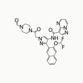 O=CN1CCN(C(=O)Cn2cc(NC(=O)c3cnn4cccnc34)c(-c3cc4ccccc4cc3OC(F)F)n2)CC1